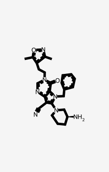 Cc1noc(C)c1CCn1cnc2c(C#N)c(N3CCC[C@H](N)C3)n(Cc3ccccc3)c2c1=O